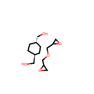 C(OCC1CO1)C1CO1.OC[C@H]1CC[C@H](CO)CC1